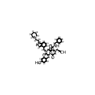 C#CCN1CC(=O)N2[C@@H](Cc3ccc(O)cc3)C(=O)N(Cc3cccc4c3cnn4CCN3CCCCC3)C[C@@H]2N1C(=O)NCc1ccccc1